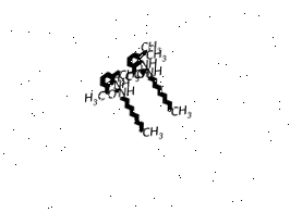 CCCCCCCCCCNC(=O)Nc1c(C(C)C)cccc1C(C)C.CCCCCCCCCCNC(=O)Nc1c(CC)cccc1CC